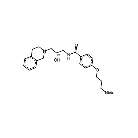 CNCCCOc1ccc(C(=O)NC[C@H](O)CN2CCc3ccccc3C2)cc1